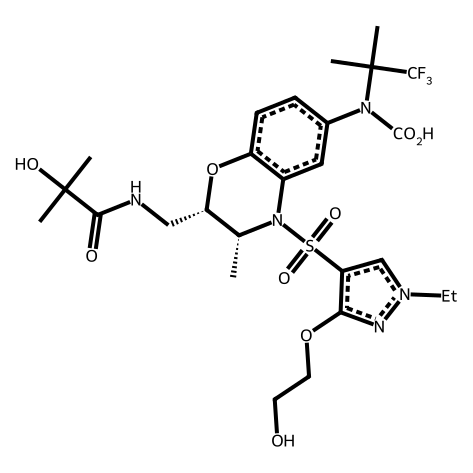 CCn1cc(S(=O)(=O)N2c3cc(N(C(=O)O)C(C)(C)C(F)(F)F)ccc3O[C@@H](CNC(=O)C(C)(C)O)[C@H]2C)c(OCCO)n1